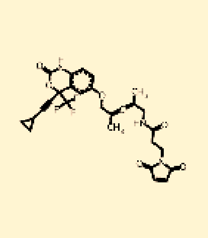 CC(=C=C(C)COc1ccc2c(c1)C(C#CC1CC1)(C(F)(F)F)OC(=O)N2)CNC(=O)CCN1C(=O)C=CC1=O